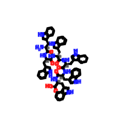 N[C@H](Cc1c[nH]c2ccccc12)C(=O)N[C@H](Cc1c[nH]c2ccccc12)C(=O)N[C@H](Cc1c[nH]c2ccccc12)C(=O)N[C@@H](Cc1c[nH]c2ccccc12)C(=O)N[C@@H](Cc1c[nH]c2ccccc12)C(=O)N[C@@H](Cc1c[nH]c2ccccc12)C(=O)O